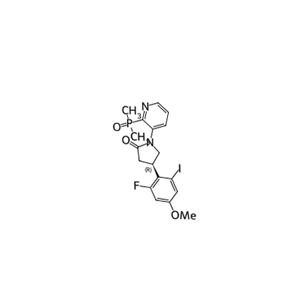 COc1cc(F)c([C@H]2CC(=O)N(c3cccnc3P(C)(C)=O)C2)c(I)c1